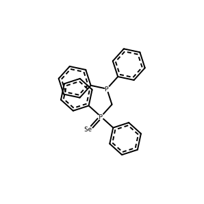 [Se]=P(CP(c1ccccc1)c1ccccc1)(c1ccccc1)c1ccccc1